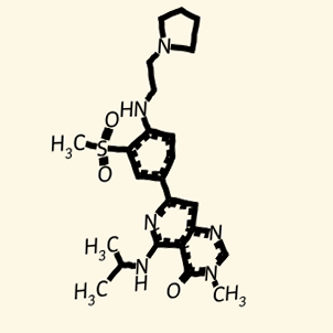 CC(C)Nc1nc(-c2ccc(NCCN3CCCC3)c(S(C)(=O)=O)c2)cc2ncn(C)c(=O)c12